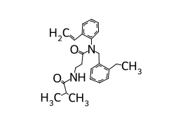 C=Cc1ccccc1N(Cc1ccccc1CC)C(=O)CCNC(=O)C(C)C